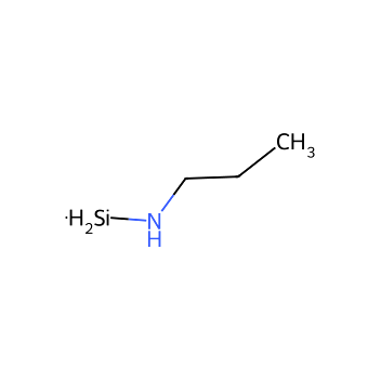 CCCN[SiH2]